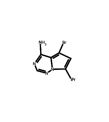 CC(C)c1cc(Br)c2c(N)ncnn12